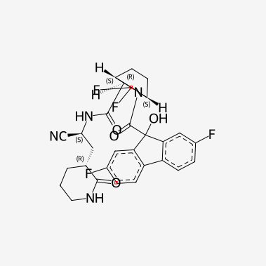 N#C[C@H](C[C@H]1CCCNC1=O)NC(=O)[C@H]1[C@@H]2CC[C@@H](CC2(F)F)N1C(=O)C1(O)c2cc(F)ccc2-c2ccc(F)cc21